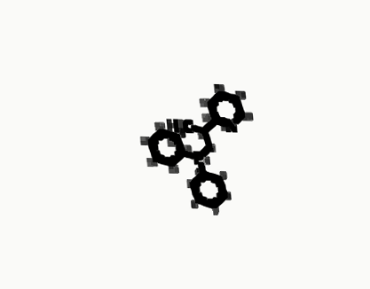 CC(CP(c1ccccc1)c1ccccc1)c1ccccn1